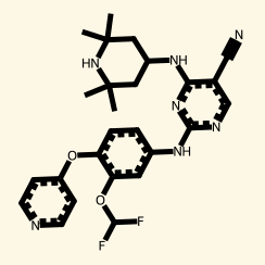 CC1(C)CC(Nc2nc(Nc3ccc(Oc4ccncc4)c(OC(F)F)c3)ncc2C#N)CC(C)(C)N1